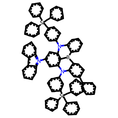 c1ccc(-c2ccc3c(c2)N(c2cccc([Si](c4ccccc4)(c4ccccc4)c4ccccc4)c2)c2cc(-n4c5ccccc5c5ccccc54)cc4c2B3c2ccccc2N4c2ccc([Si](c3ccccc3)(c3ccccc3)c3ccccc3)cc2)cc1